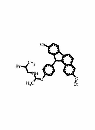 CCOc1ccc2c3c(ccc2c1)-c1ccc(Cl)cc1C3c1ccc(OC(C)NCC(C)C(C)C)cc1